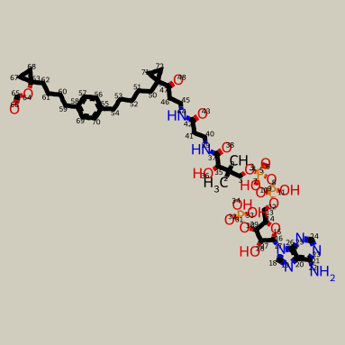 CC(C)(COP(=O)(O)OP(=O)(O)OCC1OC(n2cnc3c(N)ncnc32)C(O)C1OP(=O)(O)O)C(O)C(=O)NCCC(=O)NCCC(=O)C1(CCCCCc2ccc(CCCCC3(OC=O)CC3)cc2)CC1